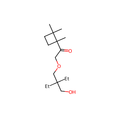 CCC(CC)(CO)COCC(=O)C1(C)CCC1(C)C